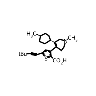 CN1CCC(c2cc(C#CC(C)(C)C)sc2C(=O)O)=C([C@H]2CC[C@H](C)CC2)C1